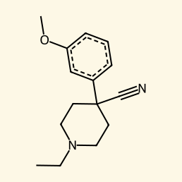 CCN1CCC(C#N)(c2cccc(OC)c2)CC1